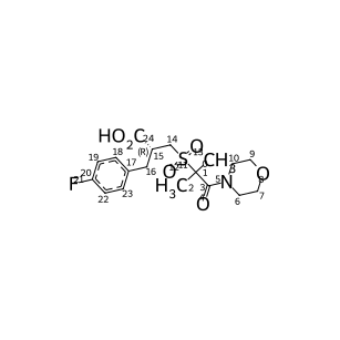 CC(C)(C(=O)N1CCOCC1)S(=O)(=O)C[C@H](Cc1ccc(F)cc1)C(=O)O